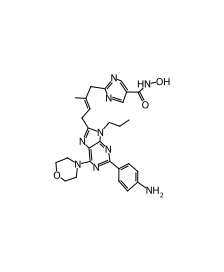 CCCn1c(C/C=C(\C)Cc2ncc(C(=O)NO)cn2)nc2c(N3CCOCC3)nc(-c3ccc(N)cc3)nc21